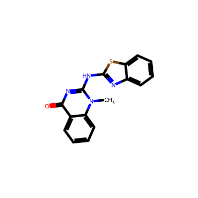 Cn1c(Nc2nc3ccccc3s2)nc(=O)c2ccccc21